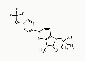 Cn1c(=O)n(CC(C)(C)C)c2ccc(-c3ccc(OC(F)(F)F)cc3)nc21